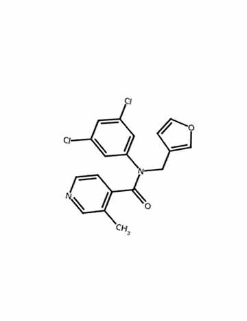 Cc1cnccc1C(=O)N(Cc1ccoc1)c1cc(Cl)cc(Cl)c1